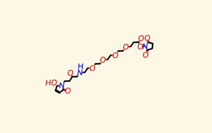 O=C(CCN1C(=O)C=CC1O)CNCCOCCOCCOCCOCCC(=O)ON1C(=O)CCC1=O